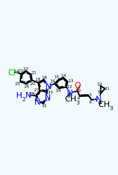 CN(C(=O)C=CCN(C)C1CC1)c1cccc(-n2cc(-c3ccc(Cl)cc3)c3c(N)ncnc32)c1